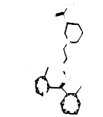 Cc1ccccc1C(=NOCCN1CCC[C@H](C(=O)O)C1)c1sccc1C.Cl